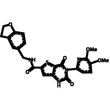 COc1ccc(-n2c(=O)[nH]c3cc(C(=O)NCc4ccc5c(c4)CCO5)sc3c2=O)nc1OC